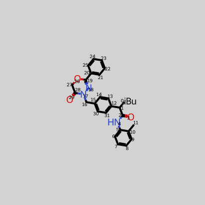 CCC(C)C(C(=O)Nc1ccccc1C)c1ccc(CN2N=C(c3ccccc3)OCC2=O)cc1